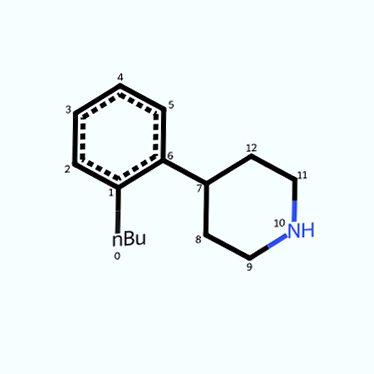 CCCCc1ccccc1C1CCNCC1